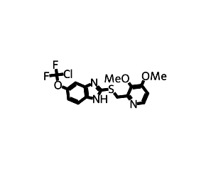 COc1ccnc(CSc2nc3cc(OC(F)(F)Cl)ccc3[nH]2)c1OC